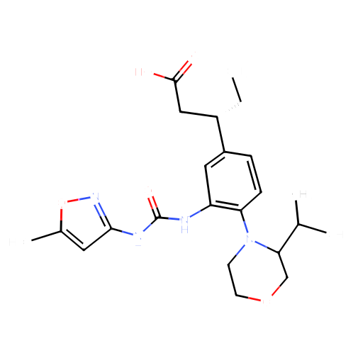 CC[C@@H](CC(=O)O)c1ccc(N2CCOCC2C(C)C)c(NC(=O)Nc2cc(C)on2)c1